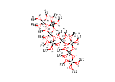 CCO[Si](OCC)(OCC)O[Si](OCC)(OCC)O[Si](OCC)(OCC)O[Si](OCC)(OCC)O[Si](OCC)(OCC)O[Si](OCC)(OCC)O[Si](OCC)(OCC)O[Si](OCC)(OCC)OCC